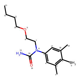 Bc1c(C)cc(N(CCOCCCC)C(N)=O)cc1C